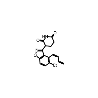 C=C/C=C\c1c(CC)ccc2onc(C3CCC(=O)NC3=O)c12